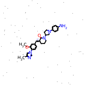 COc1cc(/C=C2\CCCN(C3CCN(c4ccc(N)cc4)C3)C2=O)ccc1-n1cnc(C)c1